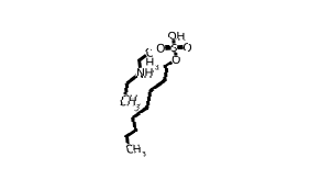 CCCCCCCCOS(=O)(=O)O.CCNCC